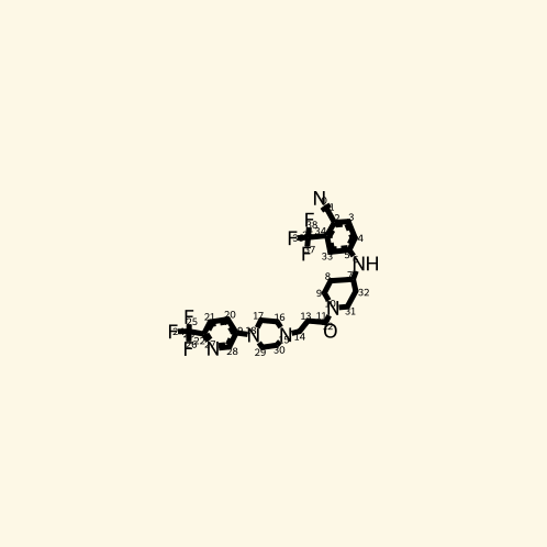 N#Cc1ccc(NC2CCN(C(=O)CCN3CCN(c4ccc(C(F)(F)F)nc4)CC3)CC2)cc1C(F)(F)F